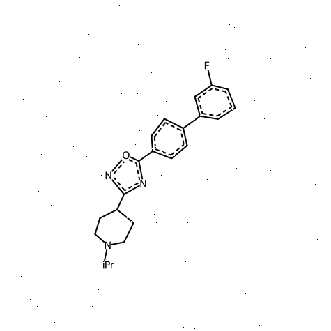 CC(C)N1CCC(c2noc(-c3ccc(-c4cccc(F)c4)cc3)n2)CC1